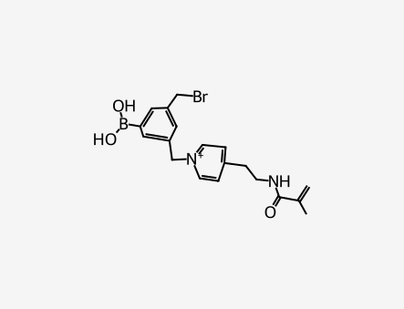 C=C(C)C(=O)NCCc1cc[n+](Cc2cc(CBr)cc(B(O)O)c2)cc1